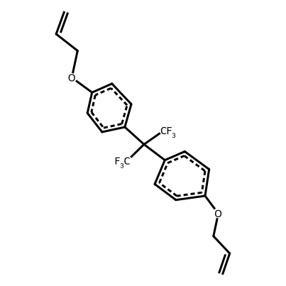 C=CCOc1ccc(C(c2ccc(OCC=C)cc2)(C(F)(F)F)C(F)(F)F)cc1